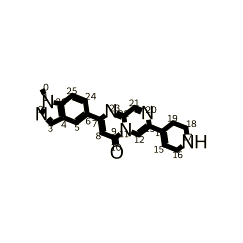 Cn1ncc2cc(-c3cc(=O)n4cc(C5=CCNCC5)ncc4n3)ccc21